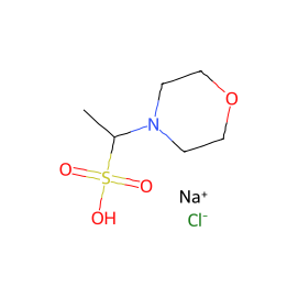 CC(N1CCOCC1)S(=O)(=O)O.[Cl-].[Na+]